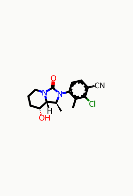 Cc1c(N2C(=O)N3CCC[C@@H](O)[C@H]3[C@@H]2C)ccc(C#N)c1Cl